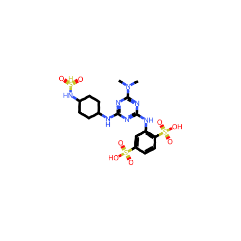 CN(C)c1nc(Nc2cc(S(=O)(=O)O)ccc2S(=O)(=O)O)nc(NC2CCC(N[SH](=O)=O)CC2)n1